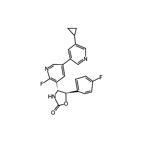 O=C1N[C@H](c2cc(-c3cncc(C4CC4)c3)cnc2F)[C@@H](c2ccc(F)cc2)O1